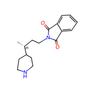 C[C@H](CCN1C(=O)c2ccccc2C1=O)C1CCNCC1